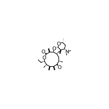 C=C1C(=C)[C@@H](C)[C@@H](CC)OC(=O)C(=C)[C@@H](O[C@@H]2O[C@H](C)C[C@H](N(C)C)C2=C)[C@@H](C)C[C@@H](C)C1=O